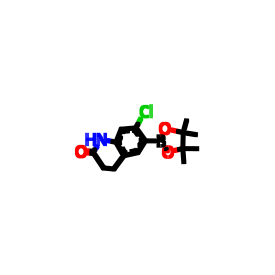 CC1(C)OB(c2cc3c(cc2Cl)NC(=O)CC3)OC1(C)C